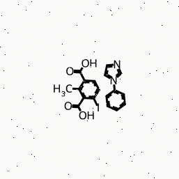 Cc1c(C(=O)O)ccc(I)c1C(=O)O.c1ccc(-n2ccnc2)cc1